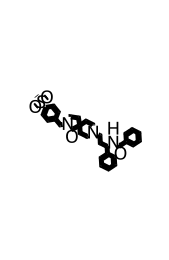 CS(=O)(=O)c1ccc(CN2CCC3(CCN(CCC(NC(=O)c4ccccc4)c4ccccc4)CC3)C2=O)cc1